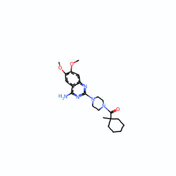 COc1cc2nc(N3CCN(C(=O)C4(C)CCCCC4)CC3)nc(N)c2cc1OC